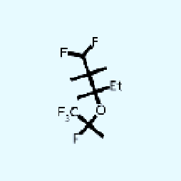 CCC(C)(OC(C)(F)C(F)(F)F)C(C)(C)C(F)F